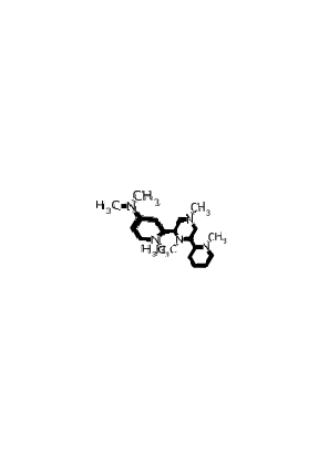 CN1CC(C2CCCCN2C)N(C)C(C2CC(N(C)C)CCN2C)C1